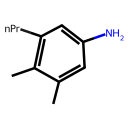 CCCc1cc(N)cc(C)c1C